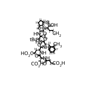 C=CCC(NC(=O)[C@H](CC1CCCC1)NC(=O)[C@@H](NC(=O)[C@H](Cc1ccccc1C)NC(=O)[C@H](CCC(=O)O)NC(=O)[C@H](CC(=O)O)NC(=O)CCC(=O)O)C(C)(C)C)B(O)O